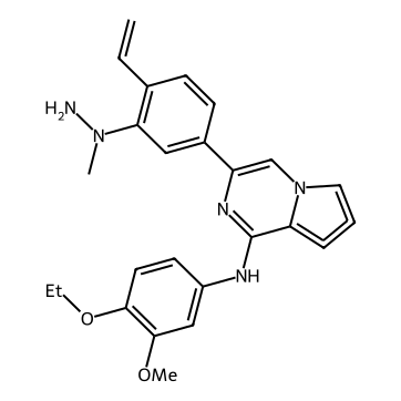 C=Cc1ccc(C2=CN3C=C=C=C3C(Nc3ccc(OCC)c(OC)c3)=N2)cc1N(C)N